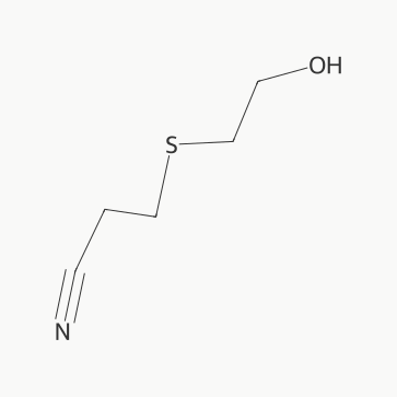 N#CCCSCCO